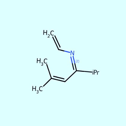 C=C/N=C(\C=C(C)C)C(C)C